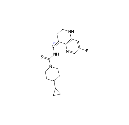 Fc1cnc2c(c1)NCC/C2=N/NC(=S)N1CCN(C2CC2)CC1